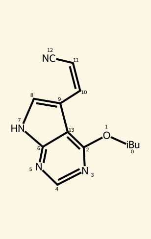 CCC(C)Oc1ncnc2[nH]cc(/C=C\C#N)c12